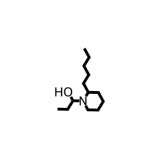 CCCCCC1CCCCN1C(O)CC